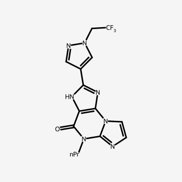 CCCn1c(=O)c2[nH]c(-c3cnn(CC(F)(F)F)c3)nc2n2ccnc12